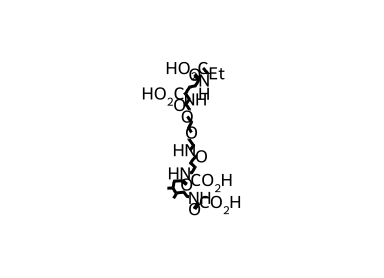 CC[C@H](NC(=O)CC[C@H](NC(=O)COCCOCCNC(=O)CC[C@H](NC(=O)CC(C)C(C)CCNC(=O)C(=O)O)C(=O)O)C(=O)O)C(=O)O